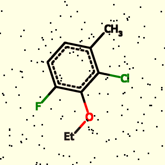 CCOc1c(F)ccc(C)c1Cl